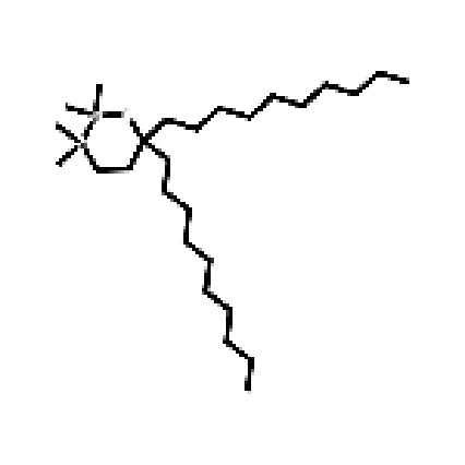 CCCCCCCCCCC1(CCCCCCCCCC)CC[Si](C)(C)[Si](C)(C)O1